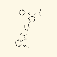 Cc1ccccc1NC(=O)Cn1ccc(-c2ccc(OC(F)F)c(OC3CCCO3)c2)n1